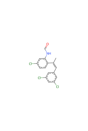 C/C(=C/c1cc(Cl)cc(Cl)c1)c1ccc(Cl)cc1NC=O